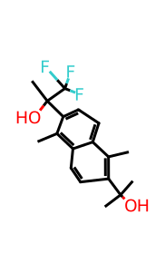 Cc1c(C(C)(C)O)ccc2c(C)c(C(C)(O)C(F)(F)F)ccc12